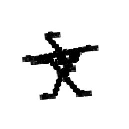 [CH2]c1ccc(-c2nc(Nc3cc(SCCCCCCCCCCCCCCCCC)c(SCCCCCCCCCCCCCCCCC)c(SCCCCCCCCCCCCCCCCC)c3)nc(Nc3cc(SCCCCCCCCCCCCCCCCC)c(SCCCCCCCCCCCCCCCCC)c(SCCCCCCCCCCCCCCCCC)c3)n2)cc1